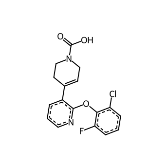 O=C(O)N1CC=C(c2cccnc2Oc2c(F)cccc2Cl)CC1